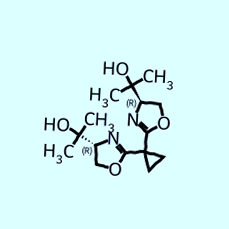 CC(C)(O)[C@H]1COC(C2(C3=N[C@@H](C(C)(C)O)CO3)CC2)=N1